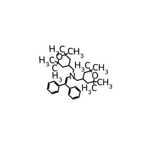 CC1(C)CC(CN(C=C(c2ccccc2)c2ccccc2)CC2CC(C)(C)OC(C)(C)C2)CC(C)(C)O1